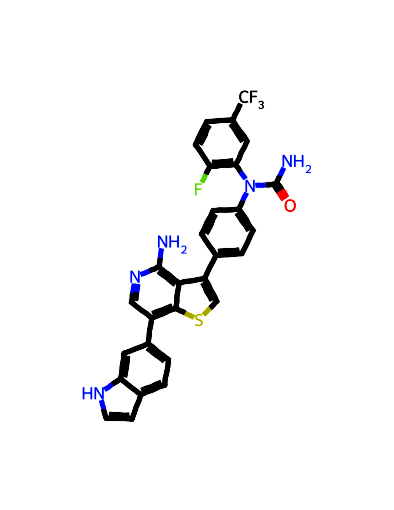 NC(=O)N(c1ccc(-c2csc3c(-c4ccc5cc[nH]c5c4)cnc(N)c23)cc1)c1cc(C(F)(F)F)ccc1F